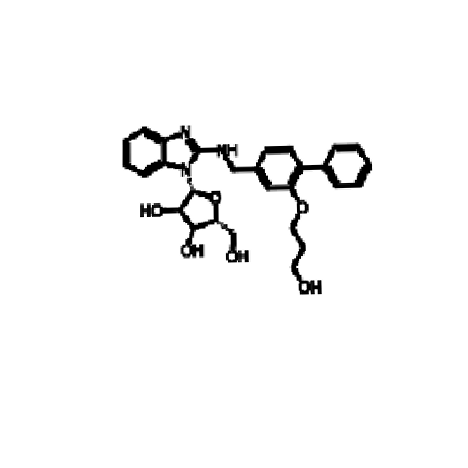 OCCCOc1cc(CNc2nc3ccccc3n2[C@@H]2O[C@H](CO)[C@@H](O)[C@H]2O)ccc1-c1ccccc1